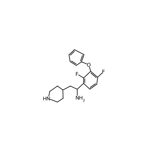 NC(CC1CCNCC1)c1ccc(F)c(Oc2ccccc2)c1F